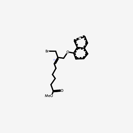 COC(=O)CCCC/C=C(/CBr)COc1cccc2ccccc12